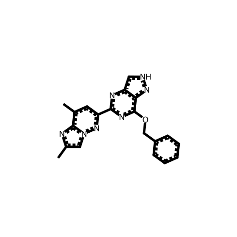 Cc1cn2nc(-c3nc(OCc4ccccc4)c4n[nH]cc4n3)cc(C)c2n1